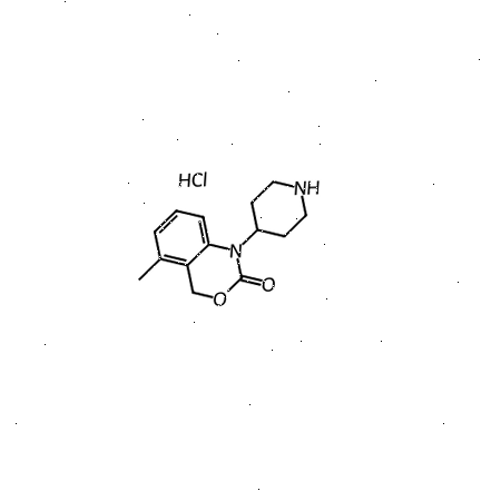 Cc1cccc2c1COC(=O)N2C1CCNCC1.Cl